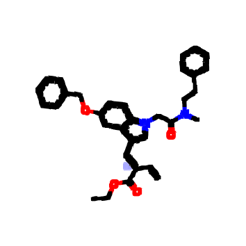 C=C/C(=C\c1cn(CC(=O)N(C)CCc2ccccc2)c2ccc(OCc3ccccc3)cc12)C(=O)OCC